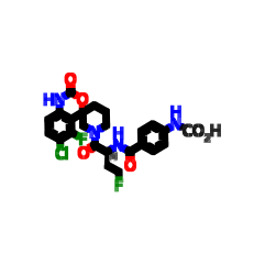 O=C(O)Nc1ccc(C(=O)N[C@@H](CCF)C(=O)N2CCCC3(C2)OC(=O)Nc2ccc(Cl)c(F)c23)cc1